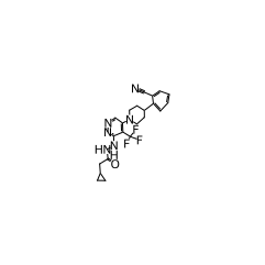 N#Cc1ccccc1C1CCN(c2cnnc(NNC(=O)CC3CC3)c2C(F)(F)F)CC1